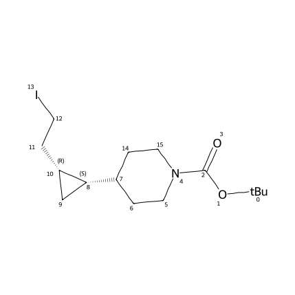 CC(C)(C)OC(=O)N1CCC([C@@H]2C[C@@H]2CCI)CC1